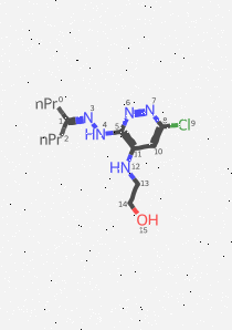 CCCC(CCC)=NNc1nnc(Cl)cc1NCCO